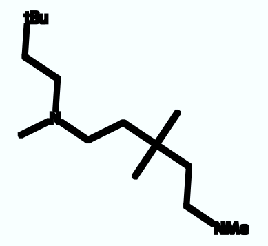 CNCCC(C)(C)CCN(C)CCC(C)(C)C